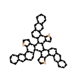 c1ccc2cc3c(ccc4c3c3sccc3c3c5c6ccc7cc8ccccc8cc7c6c6sccc6c5c5c6ccc7cc8ccccc8cc7c6c6sccc6c5c43)cc2c1